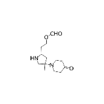 CC1(N2CCC(=O)CC2)CNC(CCOC=O)C1